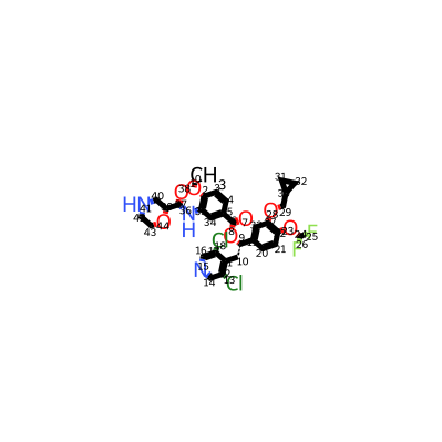 COc1ccc(C(=O)O[C@@H](Cc2c(Cl)cncc2Cl)c2ccc(OC(F)F)c(OCC3CC3)c2)cc1NC(=O)C1CNCCO1